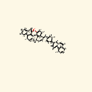 C/C=C\C(=C/c1ccc(-c2ccc3c(ccc4ccccc43)c2)cc1)c1ccc2c(c1)-c1cccc3c1c(cc1ccccc13)O2